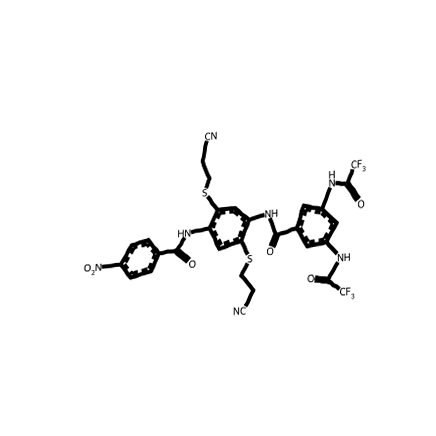 N#CCCSc1cc(NC(=O)c2cc(NC(=O)C(F)(F)F)cc(NC(=O)C(F)(F)F)c2)c(SCCC#N)cc1NC(=O)c1ccc([N+](=O)[O-])cc1